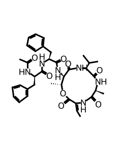 C/C=C1\NC(=O)[C@H](C)NC(=O)[C@H](C(C)C)NC(=O)[C@H](NC(=O)[C@H](Cc2ccccc2)NC(=O)[C@@H](Cc2ccccc2)NC(C)=O)[C@@H](C)OC1=O